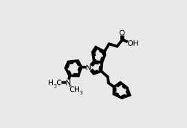 CN(C)c1cccc(-n2cc(CCc3ccccc3)c3cc(CCC(=O)O)ccc32)c1